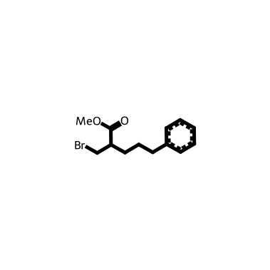 COC(=O)C(CBr)CCCc1ccccc1